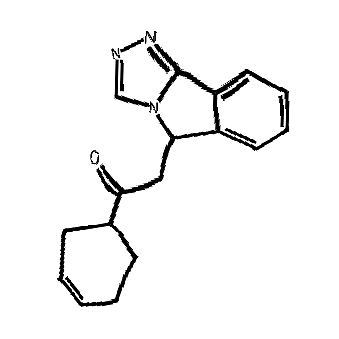 O=C(CC1c2ccccc2-c2nncn21)C1CC=CCC1